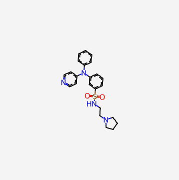 O=S(=O)(NCCN1CCCC1)c1cccc(N(c2ccccc2)c2ccncc2)c1